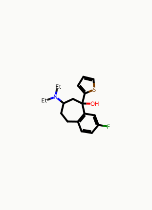 CCN(CC)C1CCc2ccc(F)cc2C(O)(c2cccs2)C1